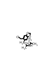 Bc1cc2c(cc1CCl)OCO2.CC(C)NC(C)C